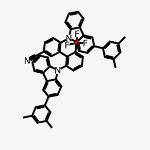 Cc1cc(C)cc(-c2ccc3c(c2)c2ccccc2n3-c2ccc(C#N)cc2-c2c(-n3c4ccccc4c4cc(-c5cc(C)cc(C)c5)ccc43)cccc2C(F)(F)F)c1